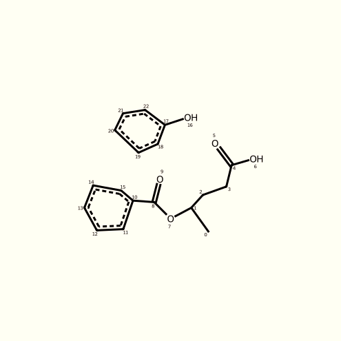 CC(CCC(=O)O)OC(=O)c1ccccc1.Oc1ccccc1